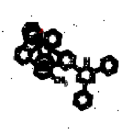 Cc1ccc(-c2cccc3c2C2(c4ccccc4-c4ccccc42)c2ccccc2-3)cc1-c1cc(C2N=C(c3ccccc3)N=C(c3ccccc3)N2)ccc1C#Cc1ccccc1